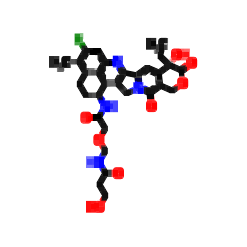 CC[C@@]1(O)C(=O)OCc2c1cc1n(c2=O)Cc2c-1nc1cc(F)c(C)c3c1c2[C@@H](NC(=O)COCNC(=O)CCO)CC3